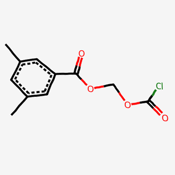 Cc1cc(C)cc(C(=O)OCOC(=O)Cl)c1